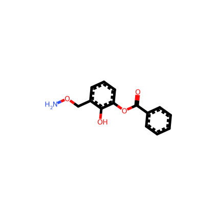 NOCc1cccc(OC(=O)c2ccccc2)c1O